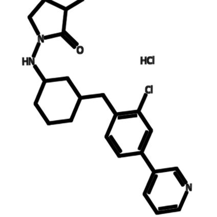 CC1CCN(NC2CCCC(Cc3ccc(-c4cccnc4)cc3Cl)C2)C1=O.Cl